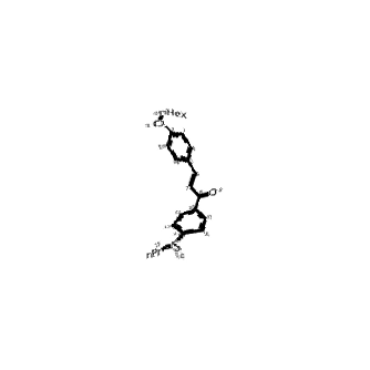 CCCCCCOc1ccc(/C=C/C(=O)c2ccc(SCCC)cc2)cc1